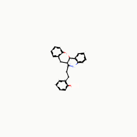 Oc1ccccc1CCC1Nc2ccccc2C2Oc3ccccc3CC12